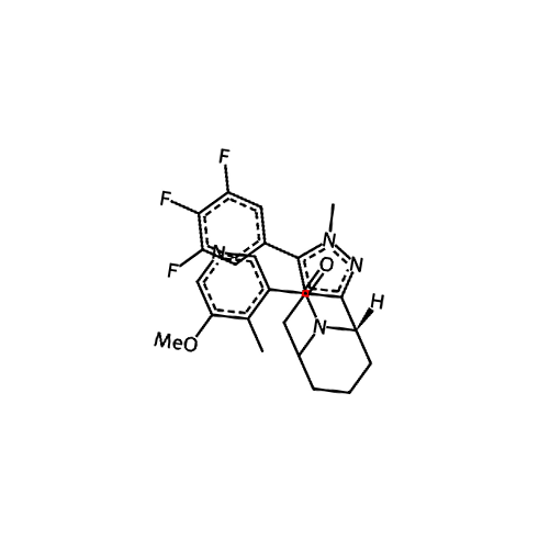 COc1cncc(C(=O)N2C3CCC[C@H]2c2nn(C)c(-c4cc(F)c(F)c(F)c4)c2C3)c1C